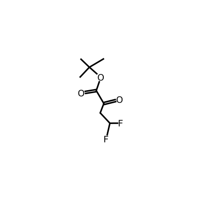 CC(C)(C)OC(=O)C(=O)CC(F)F